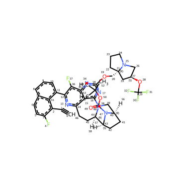 C#Cc1c(F)ccc2cccc(-c3nc4c5c(nc(OC[C@]67CCCN6C[C@@H](OC(F)(F)F)C7)nc5c3F)N3C[C@H]5CC[C@@H]([C@H]3CC4)N5C(=O)OC(C)(C)C)c12